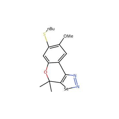 CCCCSc1cc2c(cc1OC)-c1nn[se]c1C(C)(C)O2